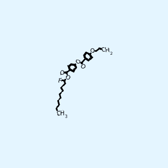 C=CCOc1ccc(C(=O)Oc2ccc(C(=O)OC(F)CCCCCCCCC)cc2)cc1